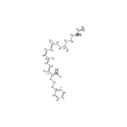 CNC(CCCc1ccccc1)/C(C)=C/C=C(C)/C=C\C=C(/C)CCC(C)CCCNC=O